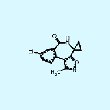 Cc1noc2c1-c1ccc(Cl)cc1C(=O)NC21CC1